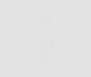 Cc1ccc(C(=O)Nc2cccnn2)ccnc(-c2c(Cl)cccc2Cl)[nH]1